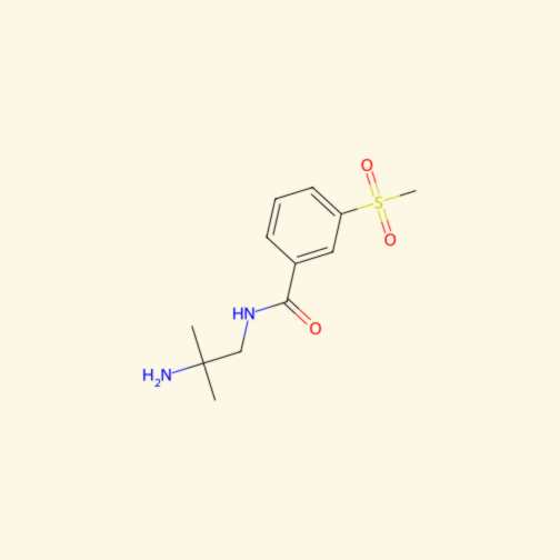 CC(C)(N)CNC(=O)c1cccc(S(C)(=O)=O)c1